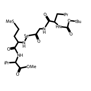 COC(=O)C(NC(=O)C(CCSC)N[Se]C(=O)CNC(=O)C(CC(C)C)NC(=O)OC(C)(C)C)C(C)C